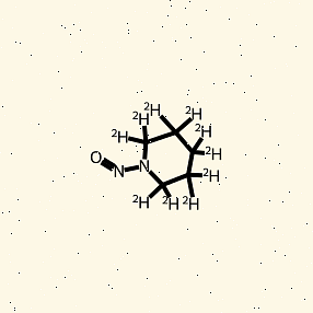 [2H]C1([2H])N(N=O)C([2H])([2H])C([2H])([2H])C([2H])([2H])C1([2H])[2H]